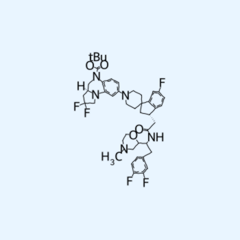 CN1CCOC(C(Cc2ccc(F)c(F)c2)NC(=O)C[C@@H]2CC3(CCN(c4ccc5c(c4)N4CC(F)(F)C[C@H]4CN5C(=O)OC(C)(C)C)CC3)c3cc(F)ccc32)C1